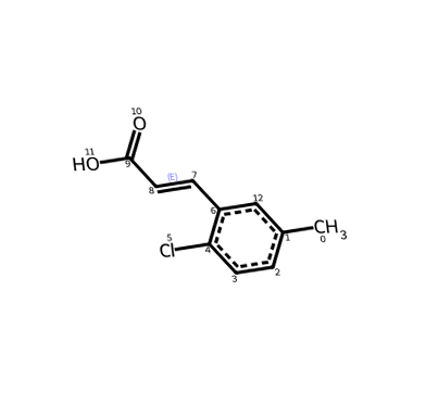 Cc1ccc(Cl)c(/C=C/C(=O)O)c1